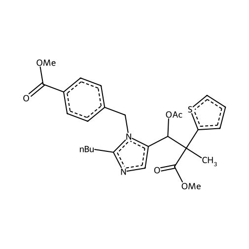 CCCCc1ncc(C(OC(C)=O)C(C)(C(=O)OC)c2cccs2)n1Cc1ccc(C(=O)OC)cc1